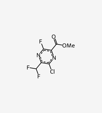 COC(=O)c1nc(Cl)c(C(F)F)nc1F